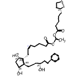 CC(OC(=O)CCC/C=C\C[C@@H]1[C@@H](CC[C@@H](O)CCc2ccccc2)[C@H](O)C[C@@H]1O)OC(=O)CCCC[C@@H]1CCSS1